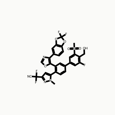 Cn1nc(C(F)(F)C#N)cc1-c1ccc(-c2cc(F)c(CO)c(S(C)(=O)=O)c2)cc1-c1ocnc1-c1ccc2c(c1)OC(F)(F)O2